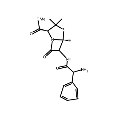 [CH2]OC(=O)[C@@H]1N2C(=O)C(NC(=O)C(N)c3ccccc3)[C@H]2SC1(C)C